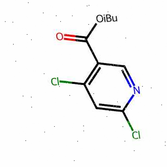 CC(C)COC(=O)c1cnc(Cl)cc1Cl